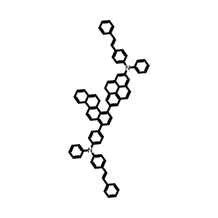 C1=CC2=CCc3c(ccc4c(-c5ccc(N(c6ccccc6)c6ccc(C=Cc7ccccc7)cc6)cc5)ccc(-c5cc6c7c(c5)CC=C5C=C(N(c8ccccc8)c8ccc(C=Cc9ccccc9)cc8)C=C(C=C6)C57)c34)C2C=C1